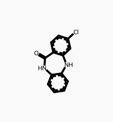 O=C1Nc2ccccc2Nc2cc(Cl)ccc21